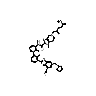 C=C(O)CCC(=C)CN1CCc2c(nc(C(=O)Nc3cccc(-c4cccc(-c5nc6cc(CN7CCCC7)cc(C#N)c6o5)c4C)c3C)n2C)C1